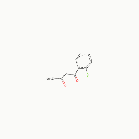 O=CC(=O)CC(=O)c1ccccc1F